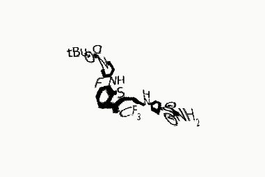 CC(C)(C)OC(=O)N1CCC(Nc2cccc3c(CC(F)(F)F)c(C#CCNc4ccc(S(N)(=O)=O)cc4)sc23)C(F)C1